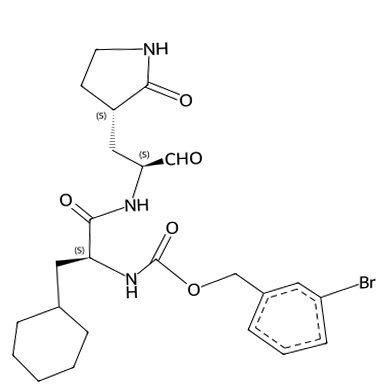 O=C[C@H](C[C@@H]1CCNC1=O)NC(=O)[C@H](CC1CCCCC1)NC(=O)OCc1cccc(Br)c1